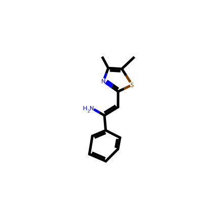 Cc1nc(C=C(N)c2ccccc2)sc1C